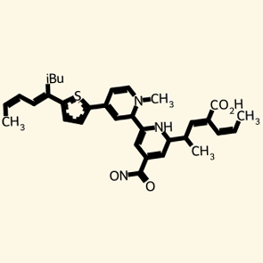 C/C=C\C=C(\c1ccc(C2=CC(C3=CC(C(=O)N=O)=CC(C(C)/C=C(\C=C/C)C(=O)O)N3)N(C)C=C2)s1)C(C)CC